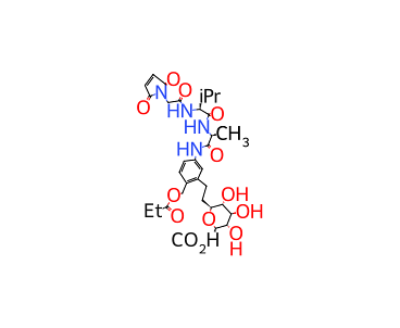 CCC(=O)OCc1ccc(NC(=O)[C@H](C)NC(=O)[C@@H](NC(=O)CN2C(=O)C=CC2=O)C(C)C)cc1CC[C@@H]1O[C@H](C(=O)O)[C@@H](O)[C@H](O)[C@H]1O